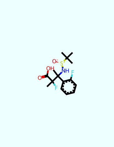 CC(C)(C)[S@@+]([O-])NC(C)(c1ccccc1F)C(C)(F)C(=O)O